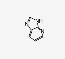 [c]1ccc2nc[nH]c2n1